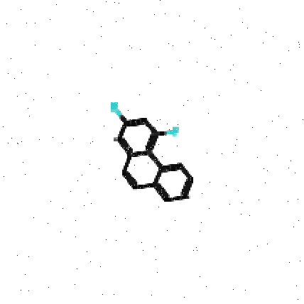 Fc1[c]c2ccc3c[c]ccc3c2c(F)c1